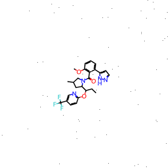 CCC(Oc1ccc(C(F)(F)F)cn1)C1CC(C)CN1C(=O)c1c(OC)cccc1-c1ccn[nH]1